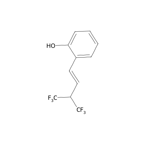 Oc1ccccc1C=CC(C(F)(F)F)C(F)(F)F